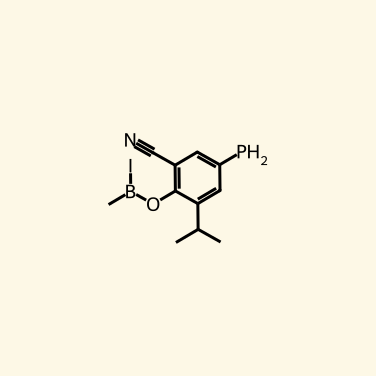 CB(I)Oc1c(C#N)cc(P)cc1C(C)C